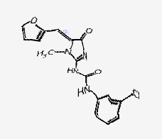 CN1C(NC(=O)Nc2cccc(Cl)c2)=NC(=O)/C1=C/c1ccco1